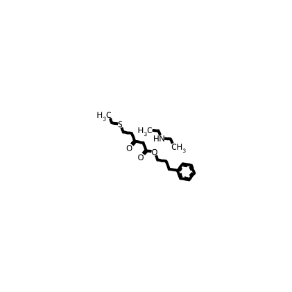 CCNCC.CCSCCC(=O)CC(=O)OCCCc1ccccc1